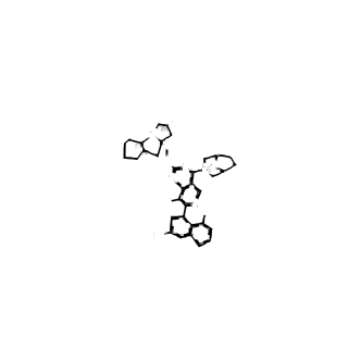 Oc1cc(-c2ncc3c(N4CC5CCC(C4)N5)nc(OC[C@@]45C[C@@H](F)CN4[C@@H]4CCCC[C@@H]4C5)nc3c2F)c2c(I)cccc2c1